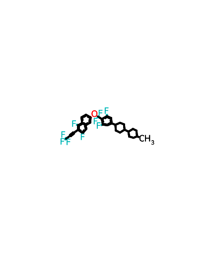 CC1CCC(C2CCC(c3cc(F)c(C(F)(F)Oc4ccc5c(F)c(C#CC(F)(F)F)c(F)cc5c4)c(F)c3)CC2)CC1